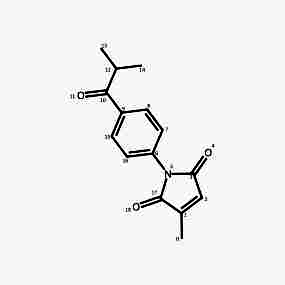 CC1=CC(=O)N(c2ccc(C(=O)C(C)C)cc2)C1=O